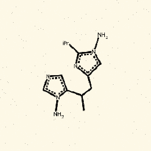 CC(C)c1nc(CC(C)c2cncn2N)cn1N